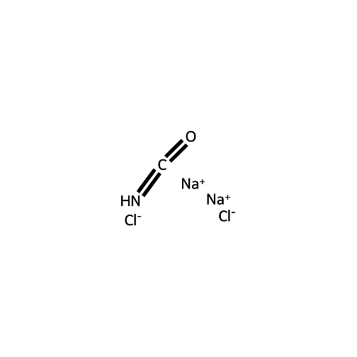 N=C=O.[Cl-].[Cl-].[Na+].[Na+]